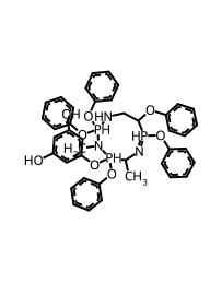 CC1/N=[PH](/Oc2ccccc2)C(Oc2ccccc2)CN[PH](Oc2ccccc2)(Oc2ccccc2)N(C)[PH]1(Oc1ccccc1)Oc1cc(O)cc(O)c1